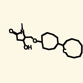 O=C1CC(O)C(COC2CCCCC(C3CCCCCCCCC3)CCC2)N1I